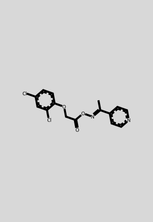 C/C(=N\OC(=O)COc1ccc(Cl)cc1Cl)c1ccncc1